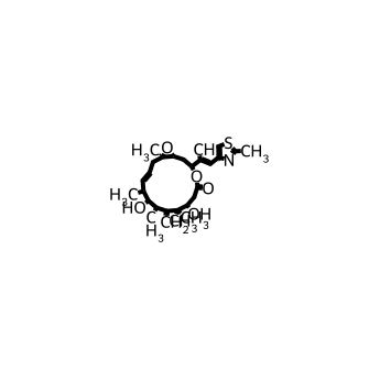 C=C1C(C)C(O)C(C)/C=C/C[C@@]2(C)OC2CC(/C(C)=C/c2csc(C)n2)OC(=O)CC(O)C1(C)C